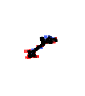 CCC(=O)NCCNC(=O)/N=C(/N)NCCC[C@@H](NC(=O)[C@@H](c1ccc(OCCCNC(=O)CCCCCNC(=O)CN2CCN(CC(=O)O)CCN(CC(=O)O)CCN(CC(=O)O)CC2)cc1)N1Cc2ccccc2C1)C(=O)NCc1ccc(O)cc1